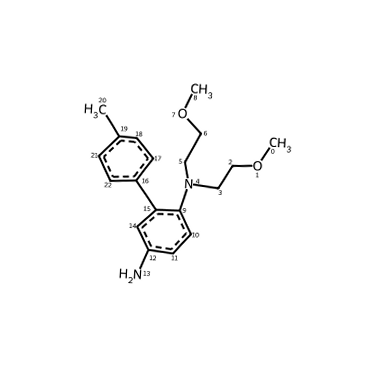 COCCN(CCOC)c1ccc(N)cc1-c1ccc(C)cc1